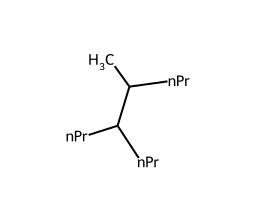 [CH2]CCC(CCC)C(C)CCC